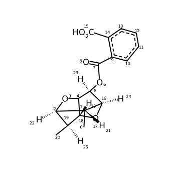 C[C@@H]1[C@@H]2OC3[C@@H](OC(=O)c4ccccc4C(=O)O)[C@H]1O[C@@H]3[C@H]2C